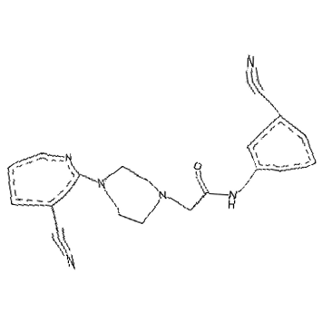 N#Cc1cccc(NC(=O)CN2CCN(c3ncccc3C#N)CC2)c1